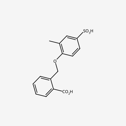 Cc1cc(S(=O)(=O)O)ccc1OCc1ccccc1C(=O)O